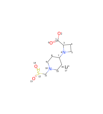 O=C([O-])C1CCN1C1CCN(C[SH](=O)=O)CC1.[Li+]